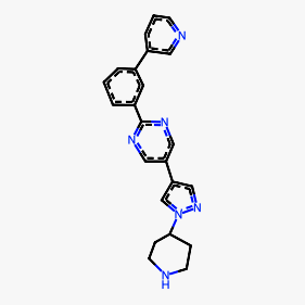 c1cncc(-c2cccc(-c3ncc(-c4cnn(C5CCNCC5)c4)cn3)c2)c1